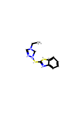 CCN1C=NN(Sc2nc3ccccc3s2)C1